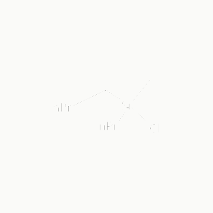 CCCC[Si](C)(Cl)CCC